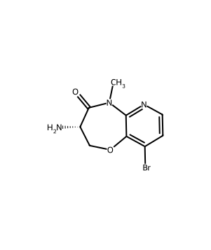 CN1C(=O)[C@@H](N)COc2c(Br)ccnc21